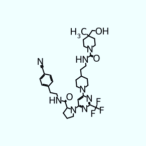 CC1(CO)CCN(C(=O)NCCC2CCN(c3cc(N4CCCC4C(=O)NCCc4ccc(C#N)cc4)nc(C(F)(F)F)n3)CC2)CC1